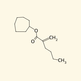 C=C(CCCC)C(=O)OC1CCCCCC1